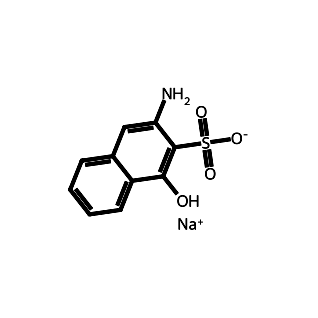 Nc1cc2ccccc2c(O)c1S(=O)(=O)[O-].[Na+]